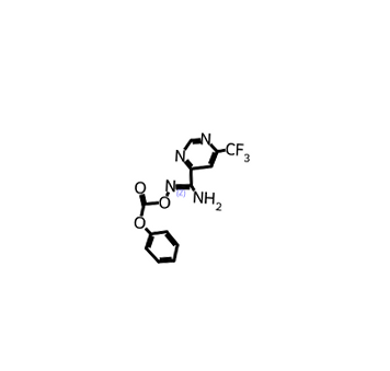 N/C(=N\OC(=O)Oc1ccccc1)c1cc(C(F)(F)F)ncn1